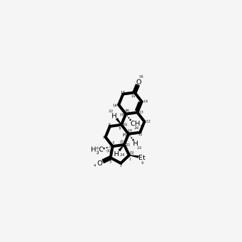 CC[C@H]1CC(=O)[C@@]2(C)CC[C@H]3[C@@H](CCC4=CC(=O)CC[C@@]43C)[C@H]12